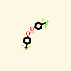 FC(F)(F)c1ccc(OBOc2ccc(C(F)(F)F)cc2)cc1